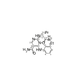 CCc1cccc(Nc2nc(N[C@@H](C(N)=O)C(C)C)ncc2C(N)=O)c1